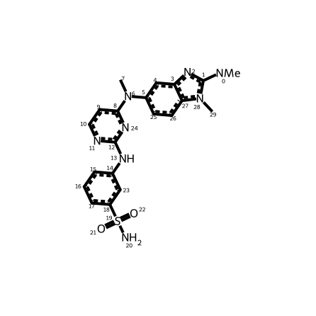 CNc1nc2cc(N(C)c3ccnc(Nc4cccc(S(N)(=O)=O)c4)n3)ccc2n1C